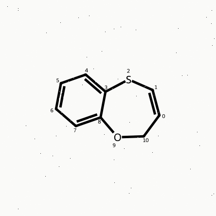 C1=CSc2ccccc2OC1